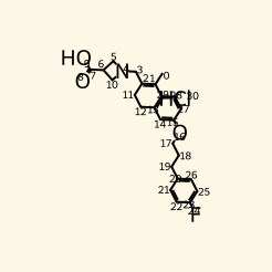 CC1=C(CN2CC(C(=O)O)C2)CCc2cc(OCCCc3ccc(F)cc3)ccc21.Cl